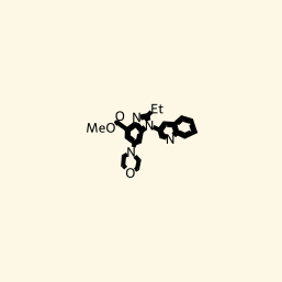 CCc1nc2c(C(=O)OC)cc(N3CCOCC3)cc2n1-c1cnc2ccccc2c1